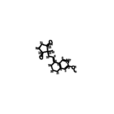 COc1cc2c(cn1)C(=CCC1(C)C(=O)CCC1=O)CCC2